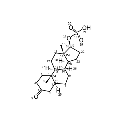 C[C@]12CCC(=O)C[C@@H]1CC[C@@H]1[C@@H]2CC[C@]2(C)[C@@H](OS(=O)(=O)O)CC[C@@H]12